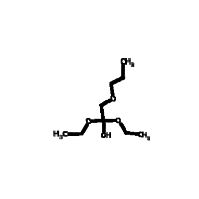 CCCOCC(O)(OCC)OCC